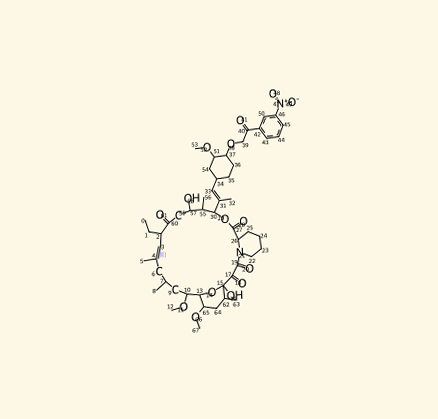 CCC1/C=C(\C)CC(C)CC(OC)C2OC(O)(C(=O)C(=O)N3CCCCC3C(=O)OC(C(C)=CC3CCC(OCC(=O)c4cccc([N+](=O)[O-])c4)C(OC)C3)C(C)C(O)CC1=O)C(C)CC2OC